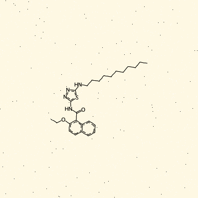 CCCCCCCCCCCNc1nnc(NC(=O)c2c(OCC)ccc3ccccc23)s1